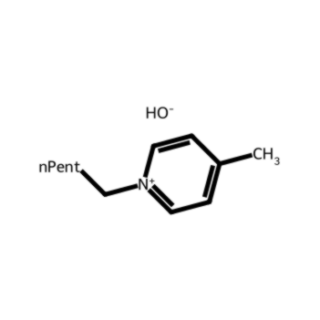 CCCCCC[n+]1ccc(C)cc1.[OH-]